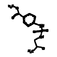 COC(=O)c1ccc(NS(=O)(=O)NCC(C)Cl)cc1